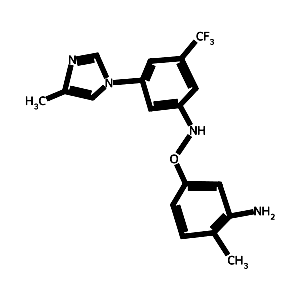 Cc1cn(-c2cc(NOc3ccc(C)c(N)c3)cc(C(F)(F)F)c2)cn1